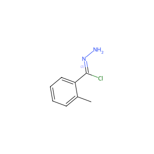 Cc1ccccc1/C(Cl)=N/N